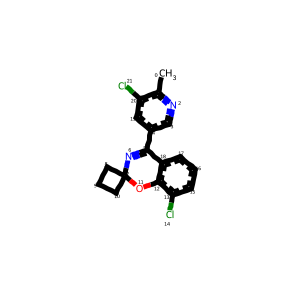 Cc1ncc(C2=NC3(CCC3)Oc3c(Cl)cccc32)cc1Cl